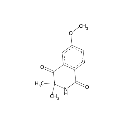 COc1ccc2c(c1)C(=O)C(C)(C)NC2=O